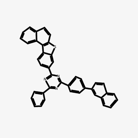 c1ccc(-c2nc(-c3ccc(-c4ccc5ccccc5c4)cc3)nc(-c3ccc4c(c3)sc3ccc5ccccc5c34)n2)cc1